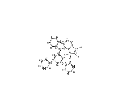 CC1=C(C)C(C)(C)c2c1ccc1c3ccccc3n(-c3cc(-c4cccnc4)cc(-c4cccnc4)c3)c21